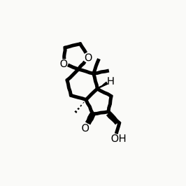 CC1(C)[C@@H]2C/C(=C/O)C(=O)[C@@]2(C)CCC12OCCO2